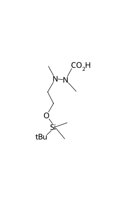 CN(CCO[Si](C)(C)C(C)(C)C)N(C)C(=O)O